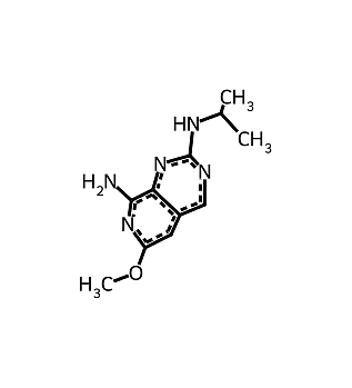 COc1cc2cnc(NC(C)C)nc2c(N)n1